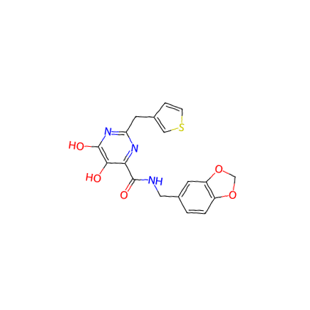 O=C(NCc1ccc2c(c1)OCO2)c1nc(Cc2ccsc2)nc(O)c1O